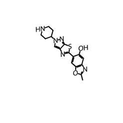 Cc1nc2cc(O)c(-c3nc4cn(C5CCNCC5)nc4s3)cc2o1